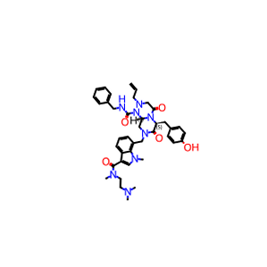 C=CCN1CC(=O)N2[C@@H](Cc3ccc(O)cc3)C(=O)N(Cc3cccc4c(C(=O)N(C)CCN(C)C)cn(C)c34)C[C@@H]2N1C(=O)NCc1ccccc1